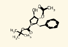 CC(=O)O[C@H]1[C@H](O)CN(C(=O)OC(C)(C)C)[C@H]1Cc1ccccc1